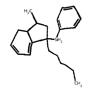 CCCCCC1([SiH2]c2ccccc2)CC(C)C2CC=CC=C21